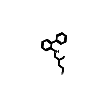 FCCC(F)CPc1ccccc1-c1ccccc1